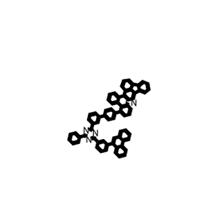 N#Cc1cccc(-c2ccc(-c3cccc(-c4nc(-c5ccccc5)nc(-c5cccc(-c6cc7ccccc7c7ccccc67)c5)n4)c3)cc2)c1-c1ccccc1-c1ccc2c3c(cccc13)-c1ccccc1-2